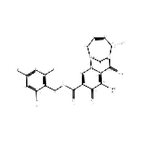 Cc1cc(F)c(CNC(=O)c2cn3c(c(O)c2=O)C(=O)N2CN3CC=C[C@@H]2C)c(F)c1